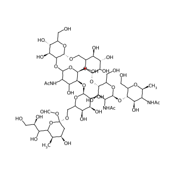 CC(=O)NC1C(OC2[C@@H](OCC3O[C@@H](O[C@@H]4C(CO)O[C@@H](O[C@@H]5C(CO)O[C@@H](C)C(NC(C)=O)[C@H]5O)C(NC(C)=O)[C@H]4O)C(O)[C@@H](O)[C@@H]3O)OC(CO)[C@@H](O)[C@@H]2O)O[C@@H](CO)[C@@H](O[C@@H]2OC(CO[C@]3(OC=O)C[C@@H](O)[C@@H](C)C(C(O)[C@H](O)CO)O3)[C@H](O)[C@H](O)C2O)C1O